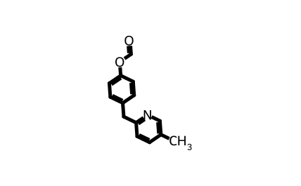 Cc1ccc(Cc2ccc(OC=O)cc2)nc1